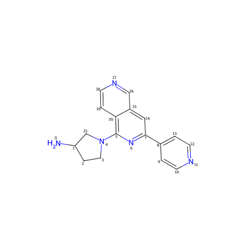 NC1CCN(c2nc(-c3ccncc3)cc3cnccc23)C1